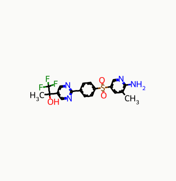 Cc1cc(S(=O)(=O)c2ccc(-c3ncc(C(C)(O)C(F)(F)F)cn3)cc2)cnc1N